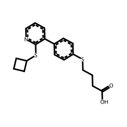 O=C(O)CCCSc1ccc(-c2cccnc2SC2CCC2)cc1